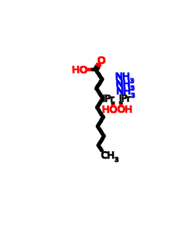 CC(C)O.CC(C)O.CCCCCCCCCC(=O)O.N.N.N